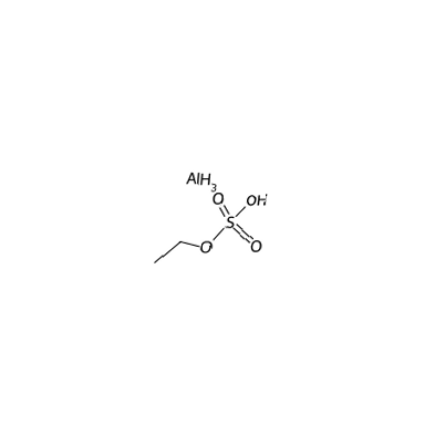 CCOS(=O)(=O)O.[AlH3]